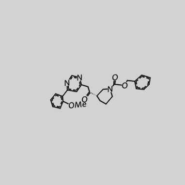 COc1ccccc1-c1cc(CC(=O)[C@H]2CCCN(C(=O)OCc3ccccc3)C2)ncn1